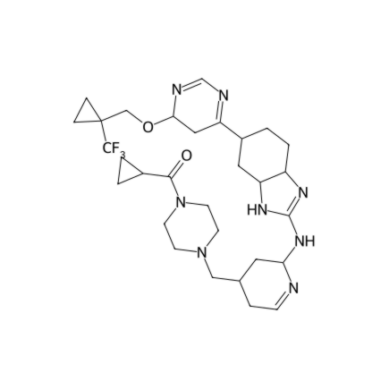 O=C(C1CC1)N1CCN(CC2CC=NC(NC3=NC4CCC(C5=NC=NC(OCC6(C(F)(F)F)CC6)C5)CC4N3)C2)CC1